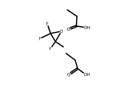 CC1(F)OC1(F)F.CCC(=O)O.CCC(=O)O